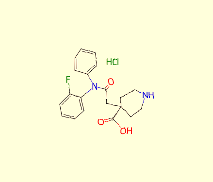 Cl.O=C(CC1(C(=O)O)CCNCC1)N(c1ccccc1)c1ccccc1F